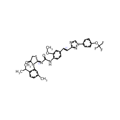 COc1cc(/C=C/c2ncn(-c3ccc(OC(F)(F)F)cc3)n2)ccc1NC(=O)/N=C1\SCC(=O)N1c1cc(C)ccc1C(C)C